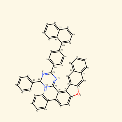 c1ccc(-c2ccc3oc4cc5ccccc5cc4c3c2C2=NC(c3ccc(-c4cccc5ccccc45)cc3)=NC(c3ccccc3)N2)cc1